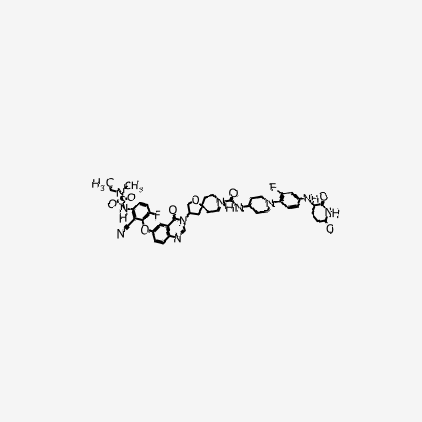 CCN(C)S(=O)(=O)Nc1ccc(F)c(Oc2ccc3ncn(C4COC5(CCN(C(=O)NC6CCN(c7ccc(NC8CCC(=O)NC8=O)cc7F)CC6)CC5)C4)c(=O)c3c2)c1C#N